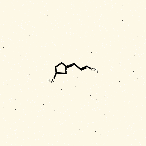 CC=CC=C1CCC(C)C1